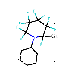 CC1(F)N(C2CCCCC2)C(F)(F)C(F)(F)C(F)(F)C1(F)F